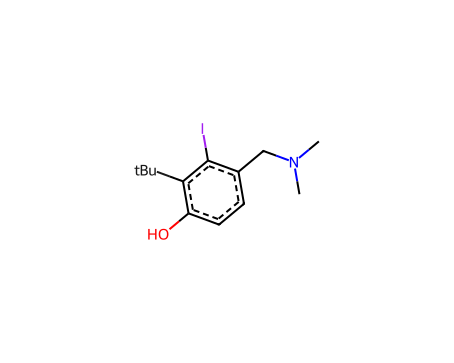 CN(C)Cc1ccc(O)c(C(C)(C)C)c1I